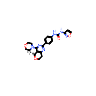 C[C@H]1COCCN1c1nc(-c2ccc(NC(=O)Nc3ccon3)cc2)nc2c1COCC2